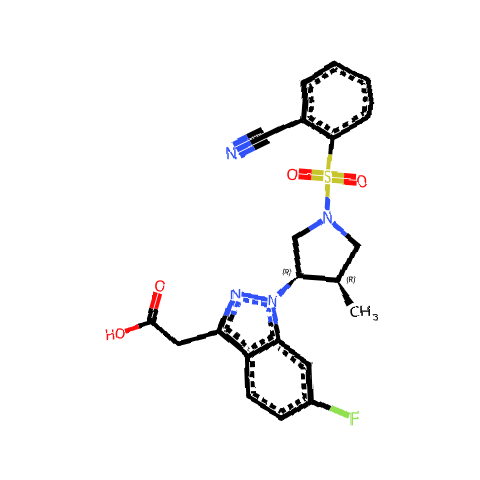 C[C@@H]1CN(S(=O)(=O)c2ccccc2C#N)C[C@@H]1n1nc(CC(=O)O)c2ccc(F)cc21